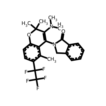 Cc1c(C(F)(F)C(F)(F)F)ccc2c1C(N1Cc3ccccc3C1=O)=C(N(C)C)C(C)(C)O2